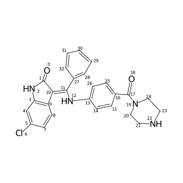 O=C1Nc2cc(Cl)ccc2C1=C(Nc1ccc(C(=O)N2CCNCC2)cc1)c1ccccc1